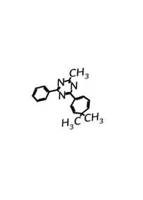 Cc1nc(C2=CC=CC(C)(C)C=C2)nc(-c2ccccc2)n1